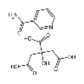 NC(=O)c1cccnc1.O=C(O)CC(O)(CC(=O)O)C(=O)O